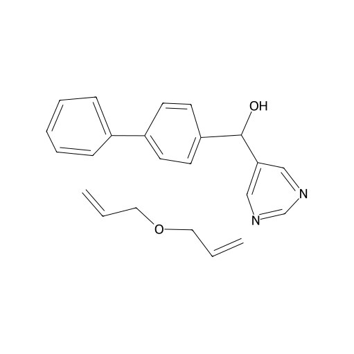 C=CCOCC=C.OC(c1ccc(-c2ccccc2)cc1)c1cncnc1